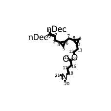 CCCCCCCCCCC(=CCC1CC1CC1CC1CCOC(=O)CCCN(C)C)CCCCCCCCCC